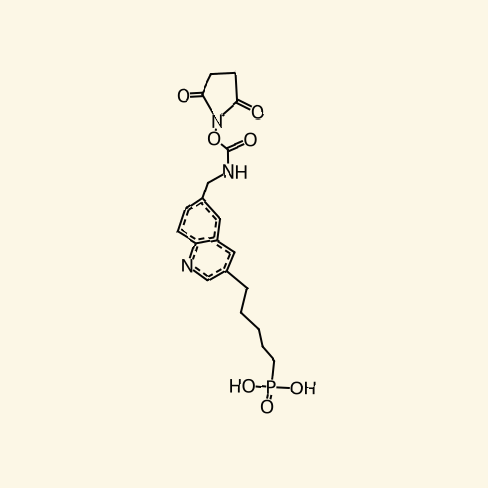 O=C(NCc1ccc2ncc(CCCCCP(=O)(O)O)cc2c1)ON1C(=O)CCC1=O